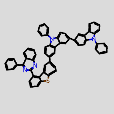 c1ccc(-c2nc(-c3cccc4sc5ccc(-c6ccc7c(c6)c6cc(-c8ccc9c(c8)c8ccccc8n9-c8ccccc8)ccc6n7-c6ccccc6)cc5c34)nc3ccccc23)cc1